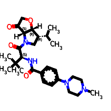 CC(C)[C@@H]1CN(C(=O)[C@@H](NC(=O)c2ccc(N3CCN(C)CC3)cc2)C(C)(C)C)[C@@H]2C(=O)CO[C@@H]21